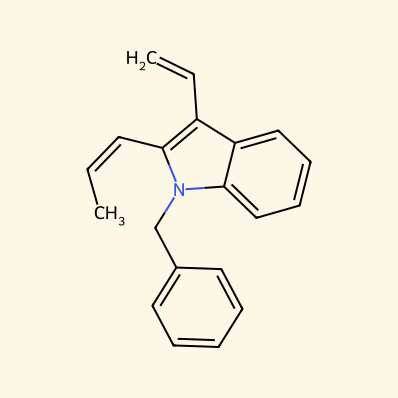 C=Cc1c(/C=C\C)n(Cc2ccccc2)c2ccccc12